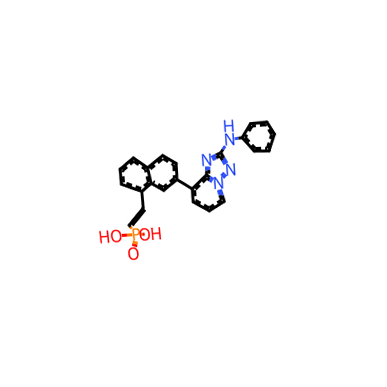 O=P(O)(O)/C=C/c1cccc2ccc(-c3cccn4nc(Nc5ccccc5)nc34)cc12